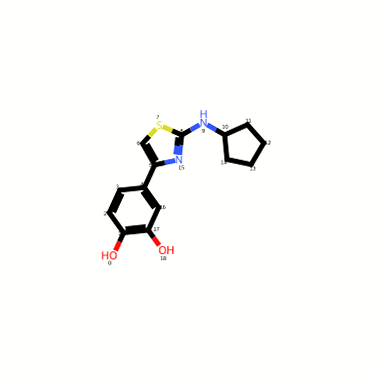 Oc1ccc(-c2csc(NC3CCCC3)n2)cc1O